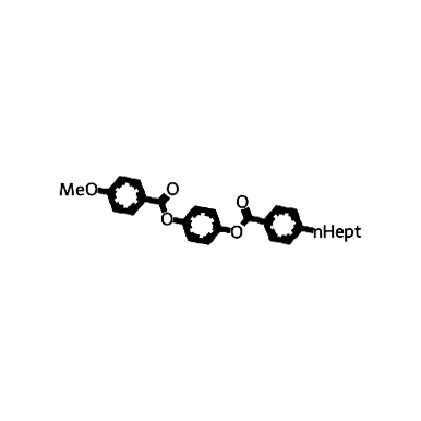 CCCCCCCc1ccc(C(=O)Oc2ccc(OC(=O)c3ccc(OC)cc3)cc2)cc1